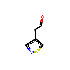 O=CCc1cnsc1